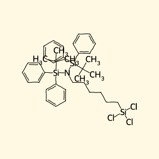 CC(C)(C)[Si](c1ccccc1)(c1ccccc1)N(CCCCCC[Si](Cl)(Cl)Cl)[Si](c1ccccc1)(c1ccccc1)C(C)(C)C